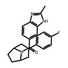 Cc1nc2ccc(C(=O)N3C4CCC3CC(c3ccc(F)cc3)C4)cc2[nH]1